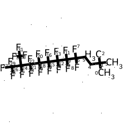 CC(C)(C)CCC(F)(F)C(F)(F)C(F)(F)C(F)(F)C(F)(F)C(F)(F)C(F)(C(F)(F)F)C(F)(F)F